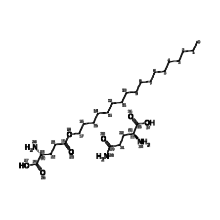 CCCCCCCCCCCCCCCCCCOC(=O)CC[C@@H](N)C(=O)O.NC(=O)CC[C@H](N)C(=O)O